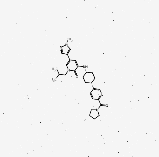 CC(C)Cn1cc(-c2cnn(C)c2)cc(N[C@H]2CC[C@@H](c3ccc(C(=O)N4CCCC4)nc3)CC2)c1=O